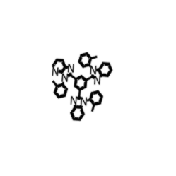 Cc1ccccc1-n1c(-c2cc(-c3nc4ccccc4n3-c3ccccc3C)cc(-c3nc4cccnc4n3-c3ccccc3C)c2)nc2ccccc21